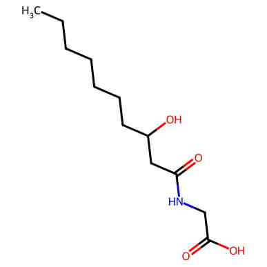 CCCCCCCC(O)CC(=O)NCC(=O)O